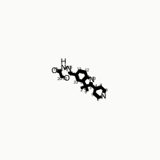 CC1(C)C(c2ccncc2)=Nc2ccc(C3=NNC(=O)CO3)cc21